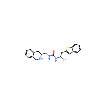 CCC(Cc1cc2ccccc2s1)NC(=O)NCC1Cc2ccccc2CN1